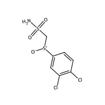 NS(=O)(=O)C[S+]([O-])c1ccc(Cl)c(Cl)c1